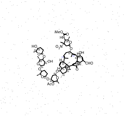 COC(=O)NC1[C@@H](C)O[C@@H](O[C@H]2C/C=C(\C)[C@H]3C=C[C@@H]4C(O[C@H]5C[C@@H](O[C@H]6CCC(O[C@H]7C[C@@H](O)C(O[C@H]8CC[C@@H](O)[C@H](C)O8)[C@H](C)O7)[C@H](C)O6)[C@@H](OC(C)=O)[C@H](C)O5)[C@@H](C)C[C@H](C)[C@H]4[C@]3(C)C(=O)C3=C(O)C4(CC(C=O)=C[C@H](O)[C@H]4/C=C/2C)OC3=O)C[C@]1(C)[N+](=O)[O-]